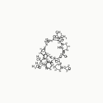 CCO[C@@H]1C2=NC(CS2)c2ccc3c(c2)c(c(-c2cc(C4CCN(C5COC5)CC4)cnc2[C@H](C)OC)n3CC)CC(C)(C)COC(=O)[C@@H]2CCCN(N2)C(=O)[C@H]1NC